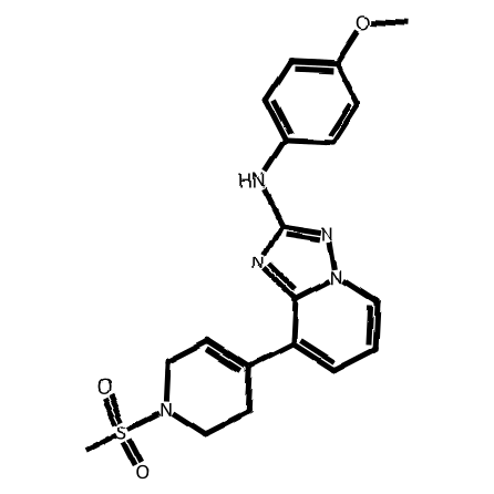 COc1ccc(Nc2nc3c(C4=CCN(S(C)(=O)=O)CC4)cccn3n2)cc1